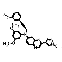 COc1cccc(C#CCN(c2cc(OC)cc(OC)c2)c2ccc3ncc(-c4cnn(C)c4)nc3c2)c1